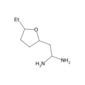 CCC1CCC(CC(N)N)O1